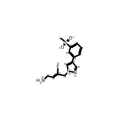 CS(=O)(=O)c1cccc(-c2cnn(C/C(F)=C/CN)c2)c1